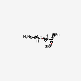 CC(C)(C)[Si](C)(C)OCc1ccc(-c2ccc(CO[Si](C)(C)C(C)(C)C)cc2CCCNC(=O)COCCOCCNC(=O)COCCOCCN)cc1